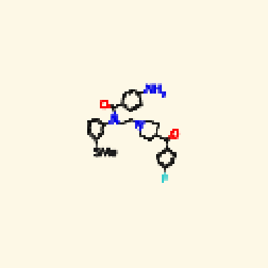 CSc1cccc(N(CCN2CCC(C(=O)c3ccc(F)cc3)CC2)C(=O)c2ccc(N)cc2)c1